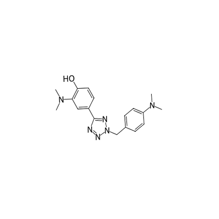 CN(C)c1ccc(Cn2nnc(-c3ccc(O)c(N(C)C)c3)n2)cc1